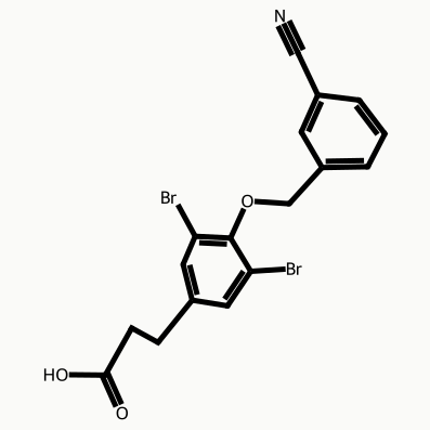 N#Cc1cccc(COc2c(Br)cc(CCC(=O)O)cc2Br)c1